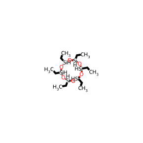 CC[SiH]1O[SiH](CC)O[SiH](CC)O[SiH](CC)O[SiH](CC)O[SiH](CC)O1